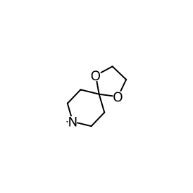 C1CC2(CC[N]1)OCCO2